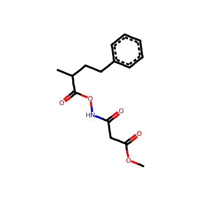 COC(=O)CC(=O)NOC(=O)C(C)CCc1ccccc1